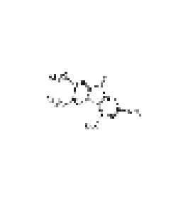 O=C1c2cc([N+](=O)[O-])c([N+](=O)[O-])cc2-c2c1cc([N+](=O)[O-])cc2[N+](=O)[O-]